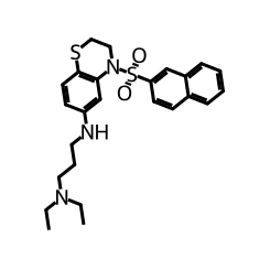 CCN(CC)CCCNc1ccc2c(c1)N(S(=O)(=O)c1ccc3ccccc3c1)CCS2